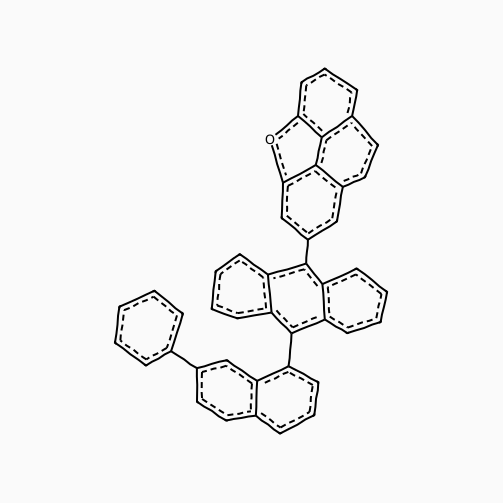 c1ccc(-c2ccc3cccc(-c4c5ccccc5c(-c5cc6ccc7cccc8oc(c5)c6c78)c5ccccc45)c3c2)cc1